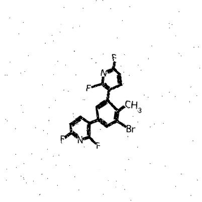 Cc1c(Br)cc(-c2ccc(F)nc2F)cc1-c1ccc(F)nc1F